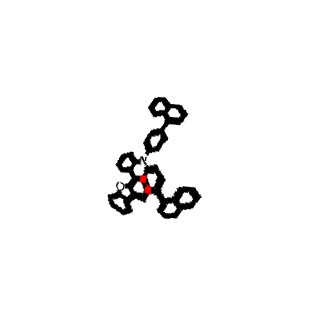 c1ccc(N(c2ccc(-c3cccc4ccccc34)cc2)c2ccc(-c3cccc4ccccc34)cc2)c(-c2cccc3c2oc2ccccc23)c1